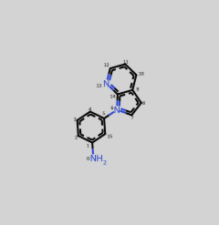 Nc1cccc(-n2ccc3cccnc32)c1